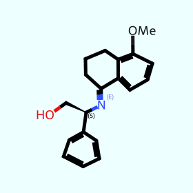 COc1cccc2c1CCC/C2=N\[C@H](CO)c1ccccc1